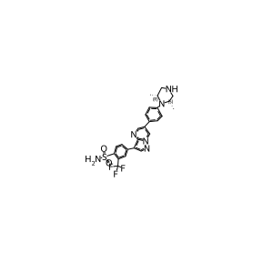 C[C@@H]1CNC[C@H](C)N1c1ccc(-c2cnc3c(-c4ccc(S(N)(=O)=O)c(C(F)(F)F)c4)cnn3c2)cc1